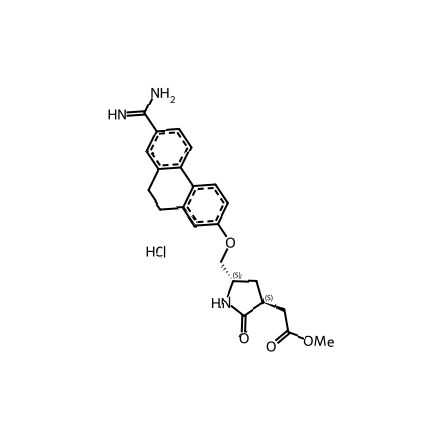 COC(=O)C[C@@H]1C[C@@H](COc2ccc3c(c2)CCc2cc(C(=N)N)ccc2-3)NC1=O.Cl